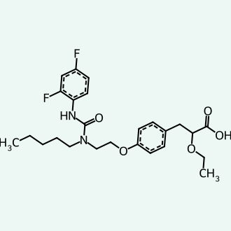 CCCCCN(CCOc1ccc(CC(OCC)C(=O)O)cc1)C(=O)Nc1ccc(F)cc1F